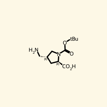 CC(C)(C)OC(=O)N1C[C@@H](CN)C[C@@H]1C(=O)O